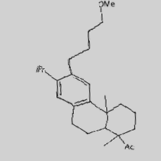 COCCCCc1cc2c(cc1C(C)C)CCC1C(C)(C(C)=O)CCCC21C